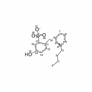 CCCC[n+]1ccccc1.Cc1ccc(O)cc1S(=O)(=O)[O-]